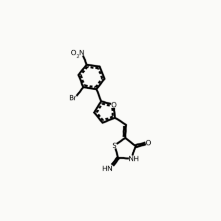 N=C1NC(=O)C(=Cc2ccc(-c3ccc([N+](=O)[O-])cc3Br)o2)S1